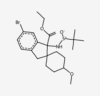 C=C(OCC)C1(N[S+]([O-])C(C)(C)C)c2cc(Br)ccc2CC12CCC(OC)CC2